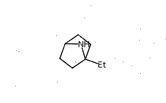 [CH2]CC12CCC(CC1)N2